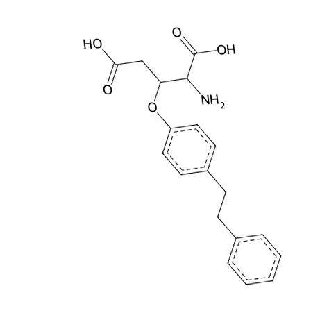 NC(C(=O)O)C(CC(=O)O)Oc1ccc(CCc2ccccc2)cc1